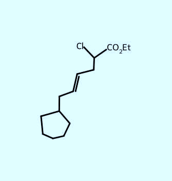 CCOC(=O)C(Cl)CC=CCC1CCCCC1